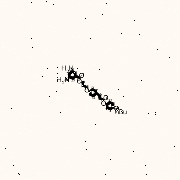 CCCCOc1ccc(OC(=O)C=Cc2ccc(OCCCOC(=O)c3cc(N)cc(N)c3)cc2)cc1